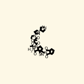 CC(=O)OC(C(=O)Nc1ccc2c(N3C(=O)c4ccccc4C3=O)nsc2c1C(N)=O)C1(C)OCCN(c2ccn(-c3ccnnc3)n2)C1=O